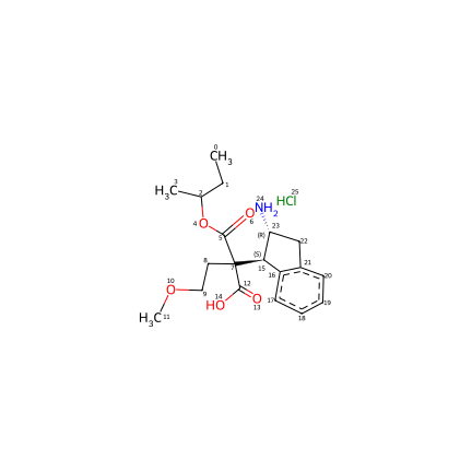 CCC(C)OC(=O)C(CCOC)(C(=O)O)[C@@H]1c2ccccc2C[C@H]1N.Cl